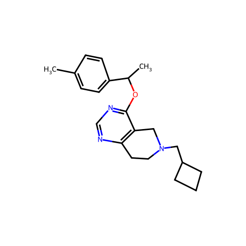 Cc1ccc(C(C)Oc2ncnc3c2CN(CC2CCC2)CC3)cc1